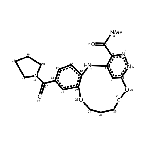 CNC(=O)c1nnc2cc1Nc1ccc(C(=O)N3CCCC3)cc1OCCCCO2